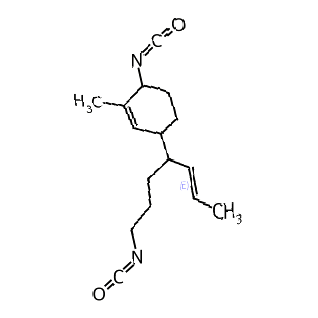 C/C=C/C(CCCN=C=O)C1C=C(C)C(N=C=O)CC1